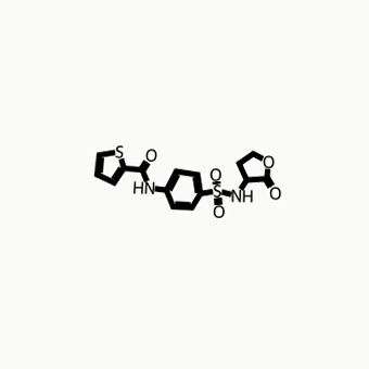 O=C(Nc1ccc(S(=O)(=O)NC2CCOC2=O)cc1)c1cccs1